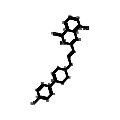 O=c1[nH]c(C=CCN2CC=C(c3ccc(F)cc3)CC2)nc2c(Cl)cccc12